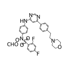 O=CON(c1ccc(Nc2cc(-c3ccc(CCN4CCOCC4)cc3)ncn2)cc1)S(=O)(=O)c1ccc(F)cc1F